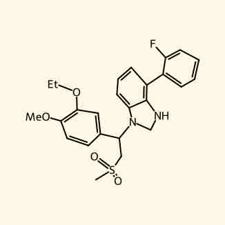 CCOc1cc(C(CS(C)(=O)=O)N2CNc3c(-c4ccccc4F)cccc32)ccc1OC